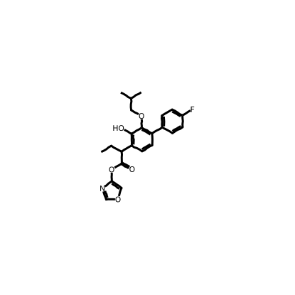 CCC(C(=O)Oc1cocn1)c1ccc(-c2ccc(F)cc2)c(OCC(C)C)c1O